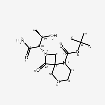 C[C@@H](O)[C@@H](C(N)=O)N1CC2(COCCN2C(=O)OC(C)(C)C)C1=O